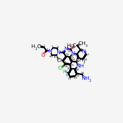 C=CC(=O)N1CCN(c2nc(=O)n(-c3c(C)ccnc3C(C)C)c3c4c(c(Cl)cc23)-c2c(F)ccc(CN)c2NC4)[C@@H](C)C1